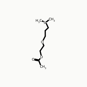 CC(=O)OCCOCCC[Si](C)C